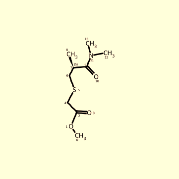 COC(=O)CSC[C@@H](C)C(=O)N(C)C